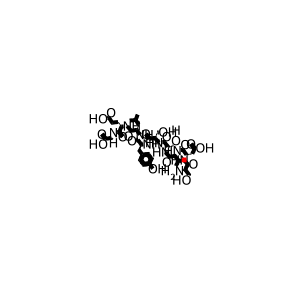 CC(C)C[C@H](NC(=O)[C@H](Cc1ccc(O)cc1)NC(=O)[C@H](CO)NC(=O)[C@H](CO)NC(=O)[C@@H](NC(=O)[C@H](CC(=O)O)NC(=O)[C@@H](N)CO)C(C)C)C(=O)N[C@@H](CCC(=O)O)C(=O)NCC(=O)O